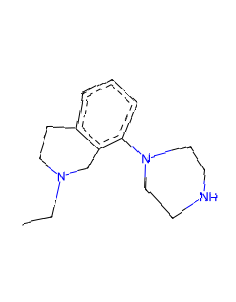 CCN1CCc2cccc(N3CCNCC3)c2C1